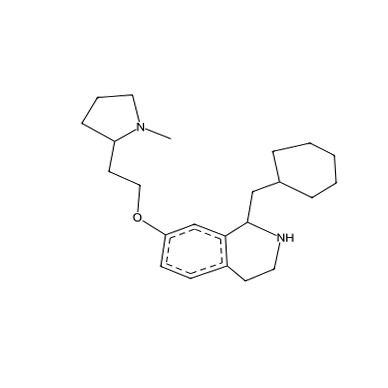 CN1CCCC1CCOc1ccc2c(c1)C(CC1CCCCC1)NCC2